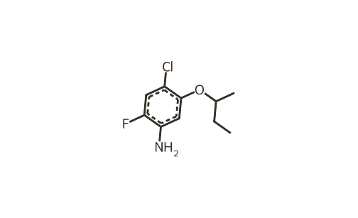 CCC(C)Oc1cc(N)c(F)cc1Cl